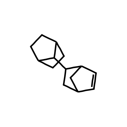 C1=CC2CC1CC2C1C2CCC1CC2